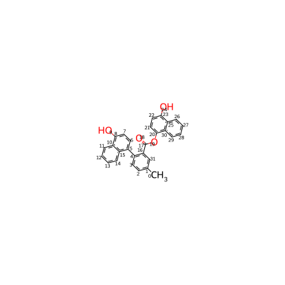 Cc1ccc(-c2ccc(O)c3ccccc23)c(C(=O)Oc2ccc(O)c3ccccc23)c1